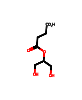 O=C(O)CCC(=O)OC(CO)CO